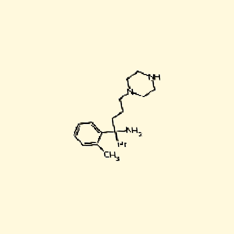 Cc1ccccc1C(N)(CCCN1CCNCC1)C(C)C